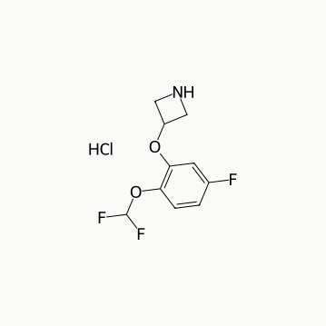 Cl.Fc1ccc(OC(F)F)c(OC2CNC2)c1